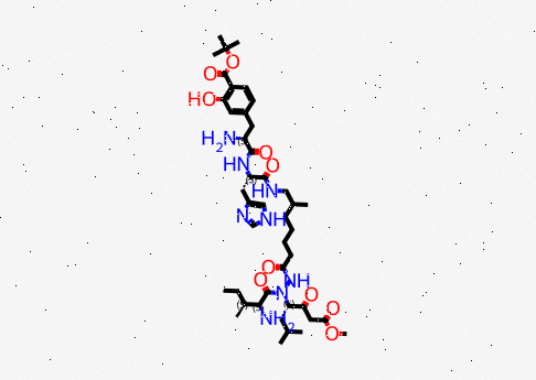 CC[C@H](C)[C@H](N)C(=O)N(NC(=O)CCCCC(C)CNC(=O)[C@H](Cc1c[nH]cn1)NC(=O)[C@@H](N)Cc1ccc(C(=O)OC(C)(C)C)c(O)c1)[C@@H](CC(C)C)C(=O)CC(=O)OC